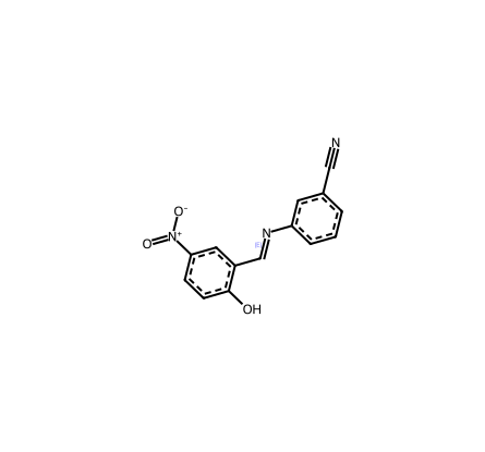 N#Cc1cccc(/N=C/c2cc([N+](=O)[O-])ccc2O)c1